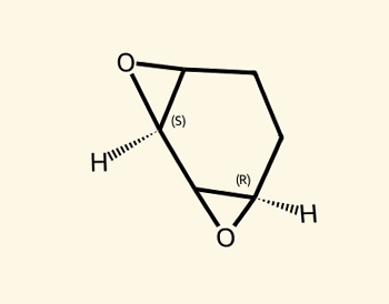 C1C[C@H]2OC2[C@H]2OC12